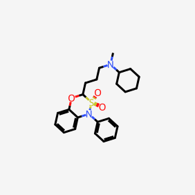 CN(CCCC1Oc2ccccc2N(c2ccccc2)S1(=O)=O)C1CCCCC1